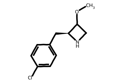 COC1CN[C@H]1Cc1ccc(Cl)cc1